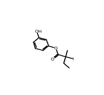 CCC(C)(I)C(=O)Oc1cccc(O)c1